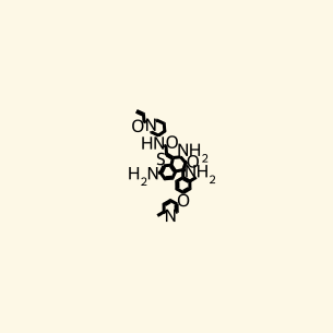 C=CC(=O)N1CCCC(NC(=O)c2sc3c(N)ccc4c3c2C(N)C(=O)C4(N)c2ccc(Oc3ccc(C)nc3)cc2C)C1